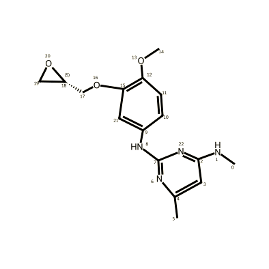 CNc1cc(C)nc(Nc2ccc(OC)c(OC[C@@H]3CO3)c2)n1